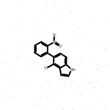 O=[N+]([O-])c1ccccc1-c1ccc2[nH]ccc2c1Cl